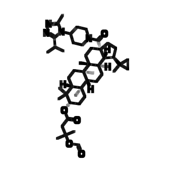 Cc1nnc(C(C)C)n1C1CCN(C(=O)[C@]23CC[C@@H](C4(C)CC4)[C@@H]2[C@H]2CC[C@@H]4[C@@]5(C)CC[C@H](OC(=O)CC(C)(C)OC=O)C(C)(C)[C@@H]5CC[C@@]4(C)[C@]2(C)CC3)CC1